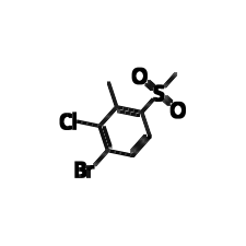 Cc1c(S(C)(=O)=O)ccc(Br)c1Cl